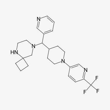 FC(F)(F)c1ccc(N2CCC(C(c3cccnc3)N3CCNC4(CCC4)C3)CC2)cn1